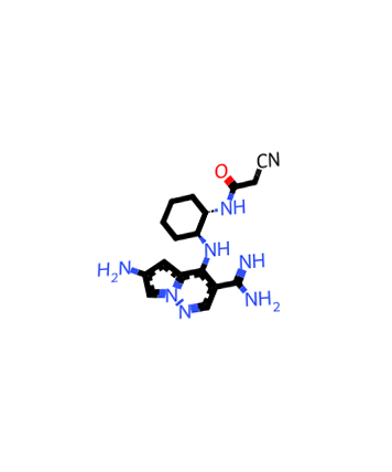 N#CCC(=O)N[C@H]1CCCC[C@@H]1Nc1c(C(=N)N)cnn2cc(N)cc12